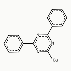 CCC(C)c1nc(-c2ccccc2)nc(-c2ccccc2)n1